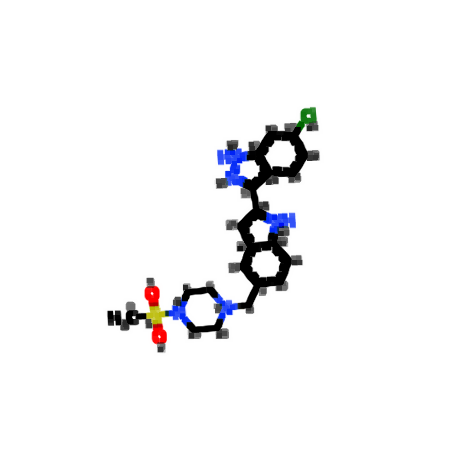 CS(=O)(=O)N1CCN(Cc2ccc3[nH]c(-c4n[nH]c5cc(Cl)ccc45)cc3c2)CC1